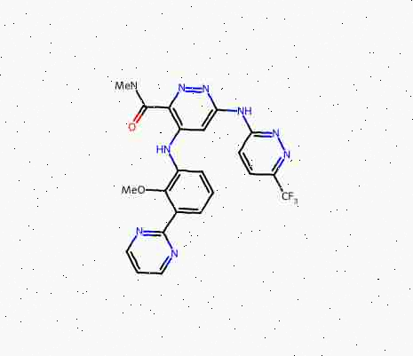 CNC(=O)c1nnc(Nc2ccc(C(F)(F)F)nn2)cc1Nc1cccc(-c2ncccn2)c1OC